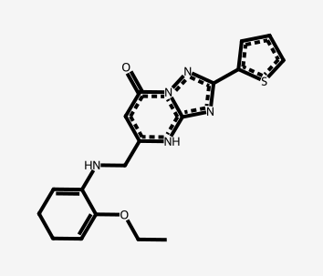 CCOC1=CCCC=C1NCc1cc(=O)n2nc(-c3cccs3)nc2[nH]1